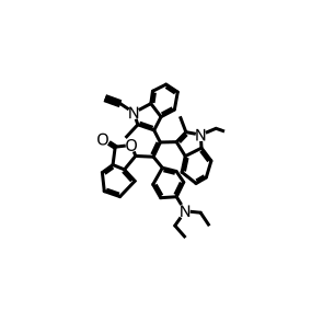 C#Cn1c(C)c(/C(=C(/c2ccc(N(CC)CC)cc2)C2OC(=O)c3ccccc32)c2c(C)n(CC)c3ccccc23)c2ccccc21